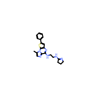 Cc1cnc2c(NCCNC3=NCCC3)nc3cc(-c4ccccc4)sc3n12